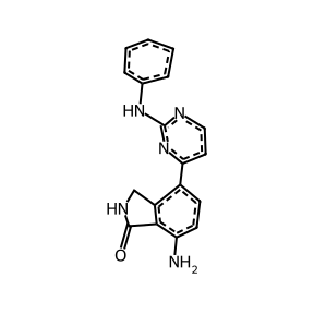 Nc1ccc(-c2ccnc(Nc3ccccc3)n2)c2c1C(=O)NC2